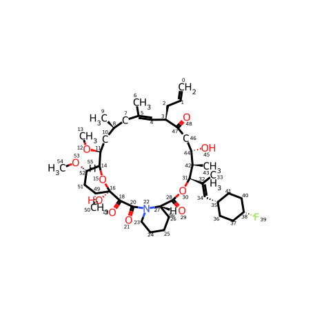 C=CC[C@@H]1/C=C(\C)C[C@H](C)C[C@H](OC)[C@H]2O[C@@](O)(C(=O)C(=O)N3CCCC[C@H]3C(=O)O[C@H](/C(C)=C/[C@H]3CC[C@@H](F)CC3)[C@H](C)[C@@H](O)CC1=O)[C@H](C)C[C@@H]2OC